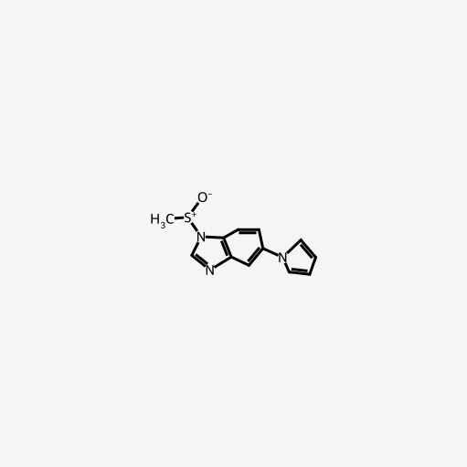 C[S+]([O-])n1cnc2cc(-n3cccc3)ccc21